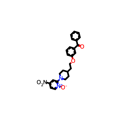 O=C(c1ccccc1)c1cccc(OCCC2CCN(c3cc([N+](=O)[O-])cc[n+]3[O-])CC2)c1